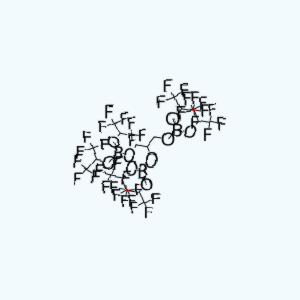 FC(F)(F)C(OB(OCC(COB(OC(C(F)(F)F)C(F)(F)F)OC(C(F)(F)F)C(F)(F)F)OB(OC(C(F)(F)F)C(F)(F)F)OC(C(F)(F)F)C(F)(F)F)OC(C(F)(F)F)C(F)(F)F)C(F)(F)F